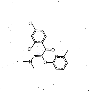 Cc1cccc(O/C(=C\N(C)C)C(=O)c2ccc(Cl)cc2Cl)n1